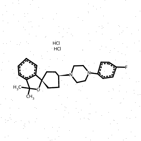 CC1(C)O[C@]2(CC[C@H](N3CCN(c4ccc(F)cc4)CC3)CC2)c2ccccc21.Cl.Cl